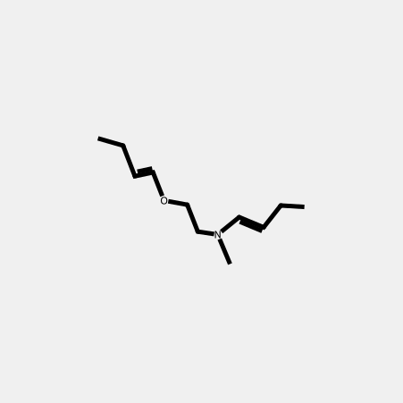 CCC=COCCN(C)C=CCC